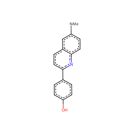 CNc1ccc2nc(-c3ccc(O)cc3)ccc2c1